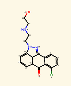 O=C1c2c(Cl)cccc2C2=NN(CCNCCO)C3=CC=CC1C32